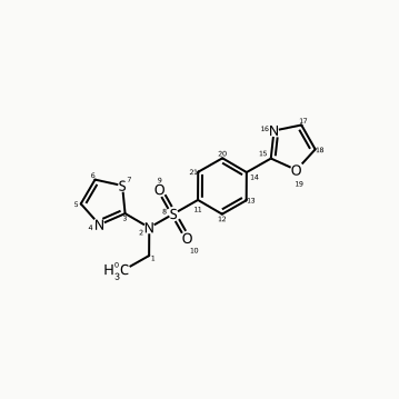 CCN(c1nccs1)S(=O)(=O)c1ccc(-c2ncco2)cc1